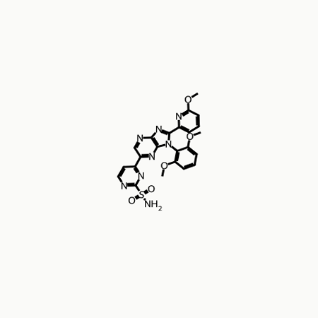 COc1cccc(-c2nc3ncc(-c4ccnc(S(N)(=O)=O)n4)nc3n2-c2c(OC)cccc2OC)n1